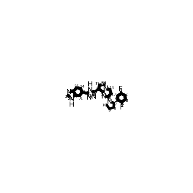 Fc1ccc(F)c([C@H]2CCCN2c2ccn3ncc(-c4nnc(-c5ccc6nc[nH]c6c5)[nH]4)c3n2)c1